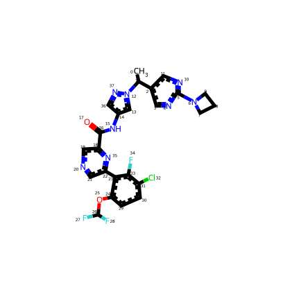 CC(c1cnc(N2CCC2)nc1)n1cc(NC(=O)c2cncc(-c3c(OC(F)F)ccc(Cl)c3F)n2)cn1